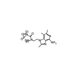 CCN(CCn1c(C)nc2c(N)nc(C)c(C)c21)C(=O)N(CC)P(=O)(O)O